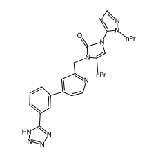 CCCc1cn(-c2ncnn2CCC)c(=O)n1Cc1cc(-c2cccc(-c3nnn[nH]3)c2)ccn1